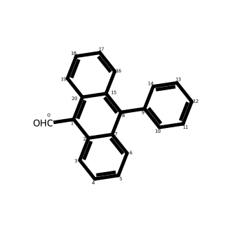 O=Cc1c2ccccc2c(-c2ccccc2)c2ccccc12